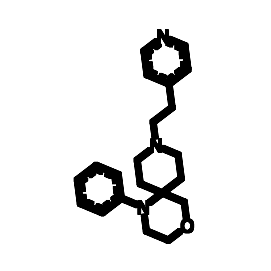 c1ccc(N2CCOCC23CCN(CCc2ccncc2)CC3)cc1